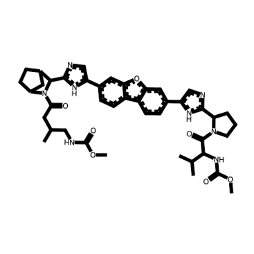 COC(=O)NCC(C)CC(=O)N1C2CCC(C2)C1c1ncc(-c2ccc3c(c2)oc2cc(-c4cnc(C5CCCN5C(=O)C(NC(=O)OC)C(C)C)[nH]4)ccc23)[nH]1